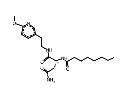 CCCCCCCC(=O)N[C@H](CC(N)=O)C(=O)NCCc1ccc(OC)nc1